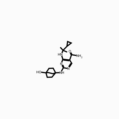 CC(C)(Nc1nc(NC23CCC(O)(CC2)CC3)ncc1C(N)=O)C1CC1